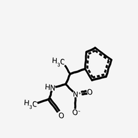 CC(=O)NC(C(C)c1ccccc1)[N+](=O)[O-]